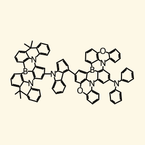 CC1(C)c2ccccc2N2c3cc(-n4c5ccccc5c5c(-c6cc7c8c(c6)B6c9cccc%10c9N(c9ccccc9O%10)c9cc(N(c%10ccccc%10)c%10ccccc%10)cc(c96)N8c6ccccc6O7)cccc54)cc4c3B(c3cccc1c32)c1cccc2c1N4c1ccccc1C2(C)C